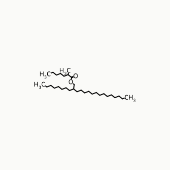 CCCCCCCCCCCCCCC(CCCCCCCC)COC(=O)C(C)CCCCC